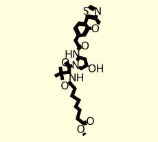 COC(=O)CCCCCCC(=O)N[C@H](C(=O)N1C[C@H](O)C[C@H]1NC(=O)Cc1ccc2c(c1)OCc1ncsc1-2)C(C)(C)C